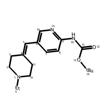 CCN1CCC(=Cc2ccc(NC(=O)OC(C)(C)C)nc2)CC1